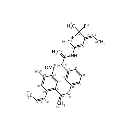 C=C(N/C(C)=C/C(=N\C)C(C)(F)F)Nc1cccc(OC(=C)c2cc(OC)c(CC)cc2/N=C\C)c1